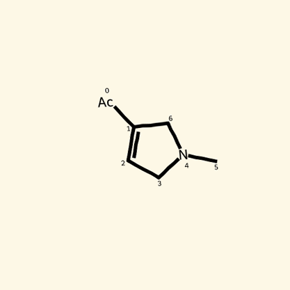 CC(=O)C1=CCN(C)C1